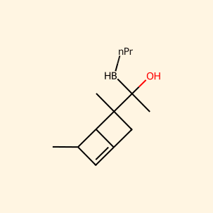 CCCBC(C)(O)C1(C)CC2=CC(C)C21